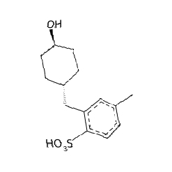 Cc1ccc(S(=O)(=O)O)c(C[C@H]2CC[C@H](O)CC2)c1